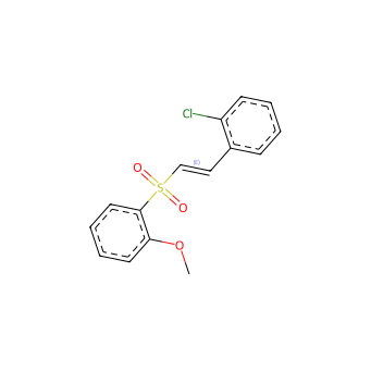 COc1ccccc1S(=O)(=O)/C=C/c1ccccc1Cl